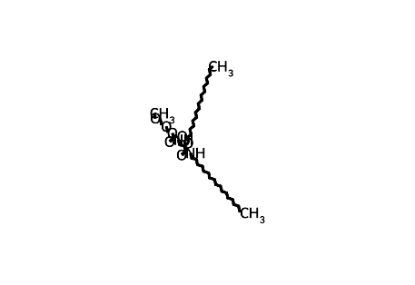 CCCCCCCCCCCCCCCCCCNC(=O)C(CNC(=O)OCOCCOC)OC(=O)CCCCCCCCCCCCCCCCC